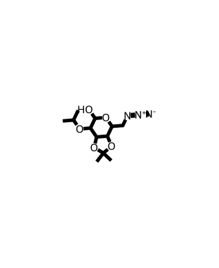 CC(C)OC1C(O)OC(CN=[N+]=[N-])C2OC(C)(C)OC12